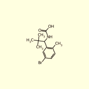 Cc1ccc(Br)cc1C(NC(=O)O)C(C)(C)C